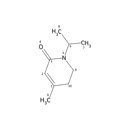 CC1=CC(=O)N(C(C)C)CC1